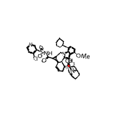 COc1ccc(C2CCCCC2)c2c1cc1n2CC2=C(C(=O)NS(=O)(=O)c3cnccc3Cl)C2=C2C=CC[C@@H](C(=O)N3C4CCC3CN(C)C4)C21